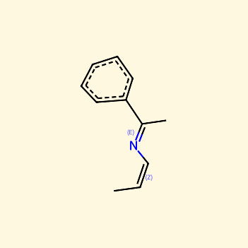 C/C=C\N=C(/C)c1ccccc1